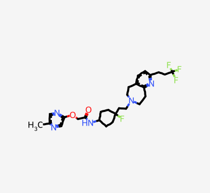 Cc1cnc(OCC(=O)NC2CCC(F)(CCN3CCc4ccc(CCC(F)(F)F)nc4CC3)CC2)cn1